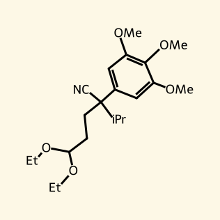 CCOC(CCC(C#N)(c1cc(OC)c(OC)c(OC)c1)C(C)C)OCC